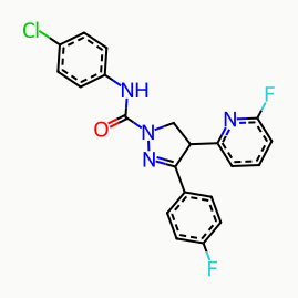 O=C(Nc1ccc(Cl)cc1)N1CC(c2cccc(F)n2)C(c2ccc(F)cc2)=N1